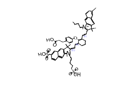 CCCC[N+]1=C(/C=C/C2=C(Oc3ccc(CCC(=O)O)cc3)C(=C/C=C3/N(CCCCS(=O)(=O)O)c4cc5ccc(S(=O)(=O)O)cc5cc4C3(C)C)/CCC2)C(C)(C)c2cc3cc(C)ccc3cc21